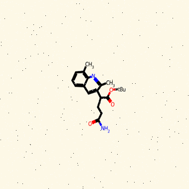 Cc1nc2c(C)cccc2cc1C(CCC(N)=O)C(=O)OC(C)(C)C